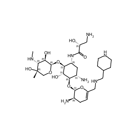 CN[C@@H]1[C@@H](O)[C@@H](O[C@@H]2[C@@H](O)[C@H](O[C@H]3OC(CNCC4CCNCC4)=CC[C@H]3N)[C@@H](N)C[C@H]2NC(=O)[C@H](O)CN)OC[C@]1(C)O